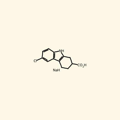 O=C(O)C1CCc2c([nH]c3ccc(Cl)cc23)C1.[NaH]